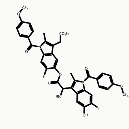 CCC(C)C(C(=O)Oc1cc2c(CC(=O)O)c(C)n(C(=O)c3ccc(OC(F)(F)F)cc3)c2cc1F)c1c(C)n(C(=O)c2ccc(OC(F)(F)F)cc2)c2cc(F)c(O)cc12